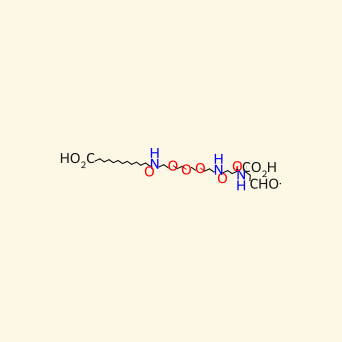 O=[C]CC[C@H](NC(=O)CCC(=O)NCCCOCCOCCOCCCNC(=O)CCCCCCCCCCCCC(=O)O)C(=O)O